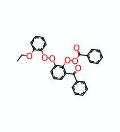 CCOc1ccccc1OOc1cccc(C(=O)c2ccccc2)c1OOC(=O)c1ccccc1